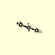 CCc1ccc(C#Cc2cc(F)c(C#Cc3ccc(F)cc3)cc2F)cc1